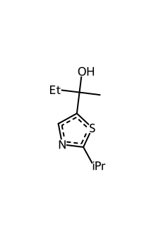 CCC(C)(O)c1cnc(C(C)C)s1